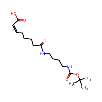 CC(C)(C)OC(=O)NCCCCNC(=O)CCCC/C=C\C(=O)O